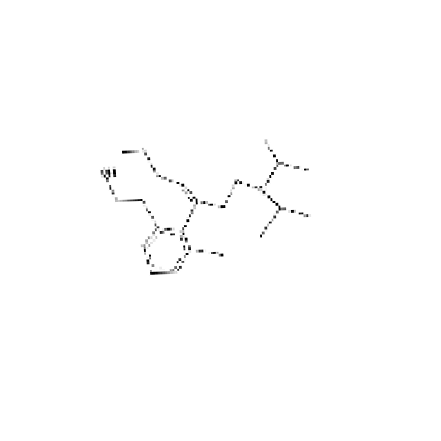 CCC/C=C(/CCN(C(C)C)C(C)C)c1c(C)cccc1CCO